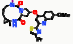 COc1ccc2c(OC3CC4C(=O)N[C@]5(C)CC5/C=C\CN(I)C(=O)N4C3)cc(-c3nc(C(C)C)cs3)nc2c1